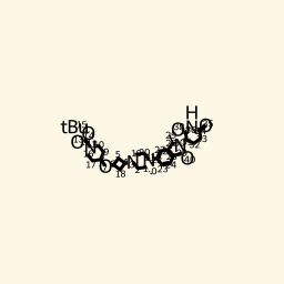 C[C@@H]1CN(C2CC(OC3CCN(C(=O)OC(C)(C)C)CC3)C2)CCN1c1ccc2c(c1)[C@@H](C)N(C1CCC(=O)NC1=O)C2=O